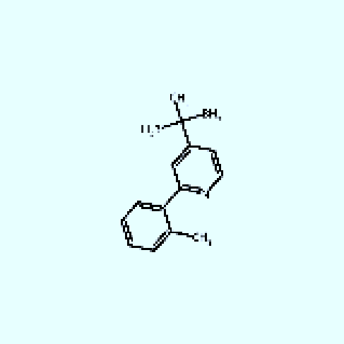 BC(B)(C)c1ccnc(-c2ccccc2C)c1